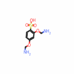 NCOc1ccc(S(=O)(=O)O)c(OCN)c1